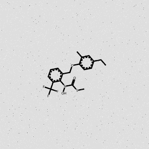 CCc1ccc(OCc2cccc(C(F)(F)F)c2N(O)C(=O)SC)c(C)c1